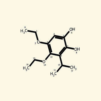 CCOc1cc(O)c(O)c(C(C)C)c1OCC